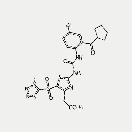 Cn1nnnc1S(=O)(=O)c1sc(NC(=O)Nc2ccc(Cl)cc2C(=O)C2CCCC2)nc1CC(=O)O